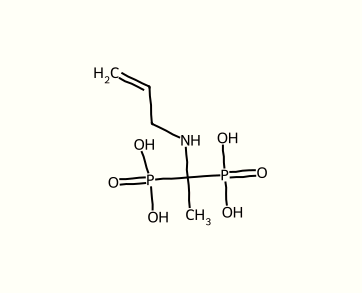 C=CCNC(C)(P(=O)(O)O)P(=O)(O)O